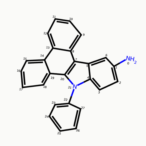 Nc1ccc2c(c1)c1c3ccccc3c3ccccc3c1n2-c1ccccc1